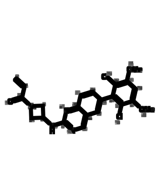 C=CC(=O)N1CC(Nc2ncc3cc(-c4c(Cl)c(OC)cc(OC)c4Cl)ccc3n2)C1